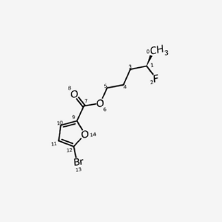 C[C@@H](F)CCCOC(=O)c1ccc(Br)o1